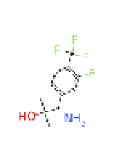 CC(C)(O)[C@@H](N)c1ccc(C(F)(F)F)c(F)c1